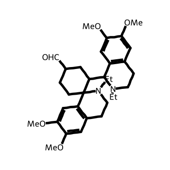 CCN1CCc2cc(OC)c(OC)cc2C1C1CC(C=O)CCC12c1cc(OC)c(OC)cc1CCN2CC